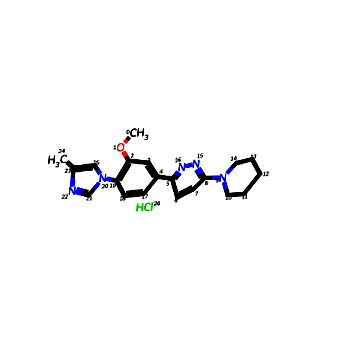 COc1cc(-c2ccc(N3CCCCC3)nn2)ccc1-n1cnc(C)c1.Cl